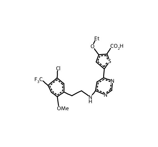 CCOc1cc(-c2cc(NCCc3cc(Cl)c(C(F)(F)F)cc3OC)ncn2)sc1C(=O)O